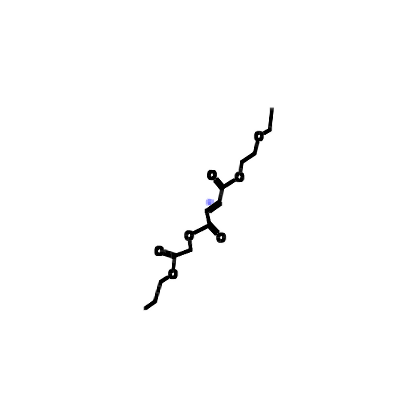 CCCOC(=O)COC(=O)/C=C/C(=O)OCCOCC